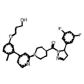 Cc1ccc(OCCCO)cc1-c1ccnc(N2CCC(C(=O)N3N=CCC3c3cc(F)cc(F)c3)CC2)c1